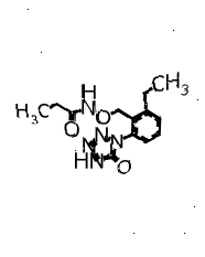 CCC(=O)NOCc1c(CC)cccc1-n1nn[nH]c1=O